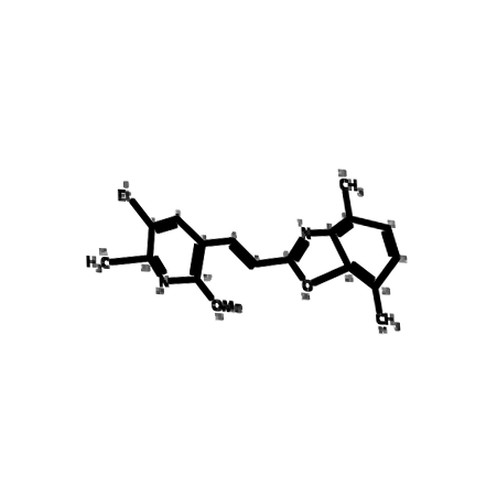 CCc1cc(/C=C/c2nc3c(C)ccc(C)c3o2)c(OC)nc1C